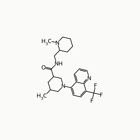 CC1CC(C(=O)NCC2CCCCN2C)CN(c2ccc(C(F)(F)F)c3ncccc23)C1